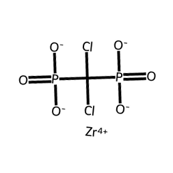 O=P([O-])([O-])C(Cl)(Cl)P(=O)([O-])[O-].[Zr+4]